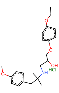 CCOc1ccc(OCC(O)CNC(C)(C)Cc2ccc(OC)cc2)cc1.Cl